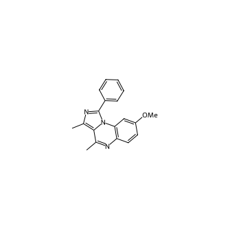 COc1ccc2nc(C)c3c(C)nc(-c4ccccc4)n3c2c1